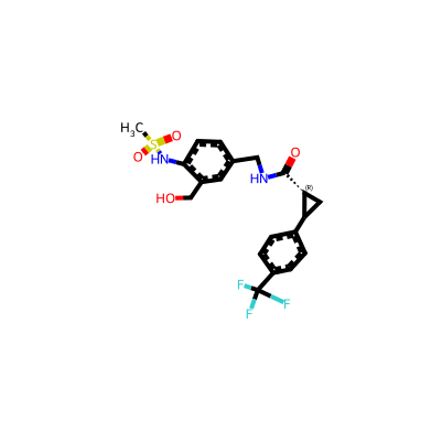 CS(=O)(=O)Nc1ccc(CNC(=O)[C@@H]2CC2c2ccc(C(F)(F)F)cc2)cc1CO